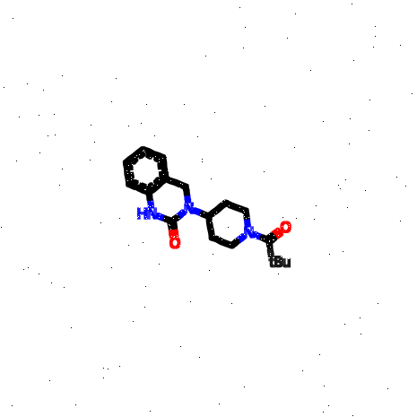 CC(C)(C)C(=O)N1CCC(N2Cc3ccccc3NC2=O)CC1